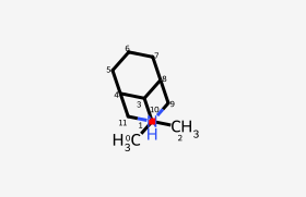 CC(C)C1C2CCCC1CNC2